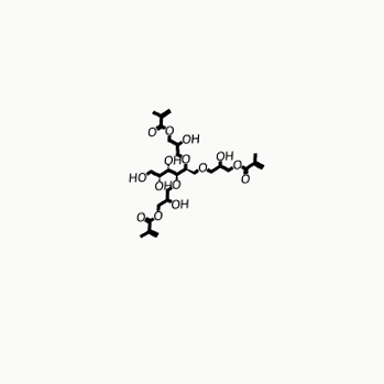 C=C(C)C(=O)OCC(O)COC[C@H](OCC(O)COC(=O)C(=C)C)[C@@H](OCC(O)COC(=O)C(=C)C)[C@@H](O)[C@H](O)CO